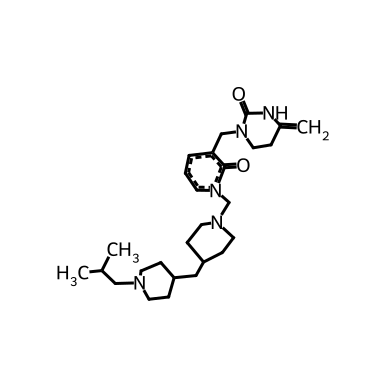 C=C1CCN(Cc2cccn(CN3CCC(CC4CCN(CC(C)C)CC4)CC3)c2=O)C(=O)N1